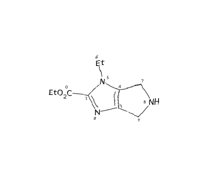 CCOC(=O)c1nc2c(n1CC)CNC2